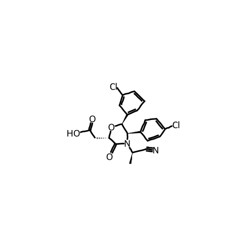 C[C@H](C#N)N1C(=O)[C@H](CC(=O)O)O[C@@H](c2cccc(Cl)c2)[C@H]1c1ccc(Cl)cc1